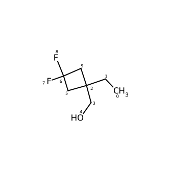 CCC1(CO)CC(F)(F)C1